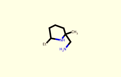 CCC1CCCC(C)(CN)N1